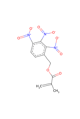 C=C(C)C(=O)OCc1ccc([N+](=O)[O-])c([N+](=O)[O-])c1[N+](=O)[O-]